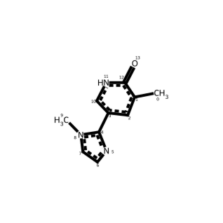 Cc1cc(-c2nccn2C)c[nH]c1=O